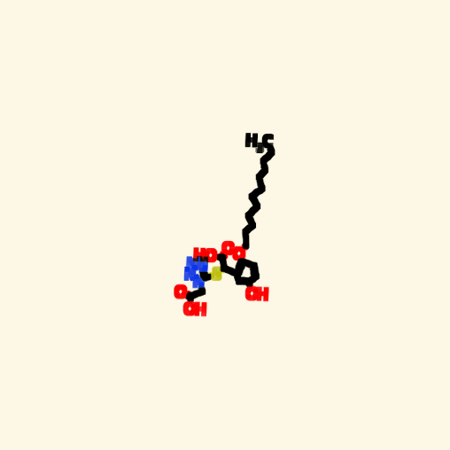 CCCCCCCCCCCCOc1ccc(O)cc1C(Sc1nnnn1CC(=O)O)C(=O)O